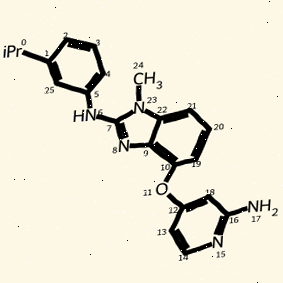 CC(C)c1cccc(Nc2nc3c(Oc4ccnc(N)c4)cccc3n2C)c1